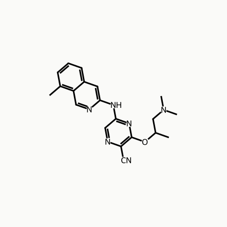 Cc1cccc2cc(Nc3cnc(C#N)c(OC(C)CN(C)C)n3)ncc12